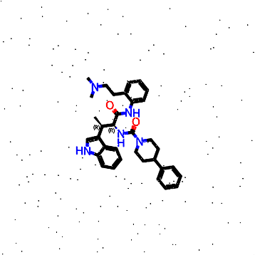 C[C@H](c1c[nH]c2ccccc12)[C@@H](NC(=O)N1CCC(c2ccccc2)CC1)C(=O)Nc1ccccc1CCN(C)C